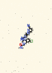 CN(C)C(=O)CN1Cc2cc(Cl)ccc2-n2c(nnc2N2CC3(CN(c4cccc(C#N)n4)C3)C2)C1